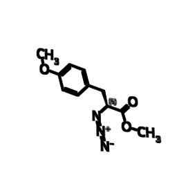 COC(=O)[C@H](Cc1ccc(OC)cc1)N=[N+]=[N-]